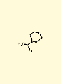 CC([O])N1CCOCC1